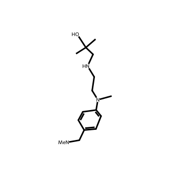 CNCc1ccc(N(C)CCNCC(C)(C)O)cc1